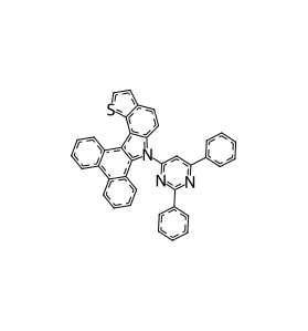 c1ccc(-c2cc(-n3c4ccc5ccsc5c4c4c5ccccc5c5ccccc5c43)nc(-c3ccccc3)n2)cc1